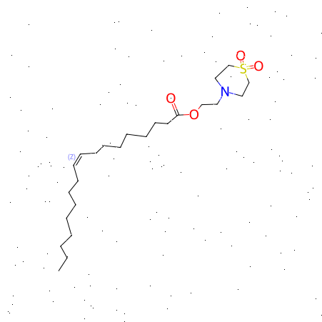 CCCCCCCC/C=C\CCCCCCCC(=O)OCCN1CCS(=O)(=O)CC1